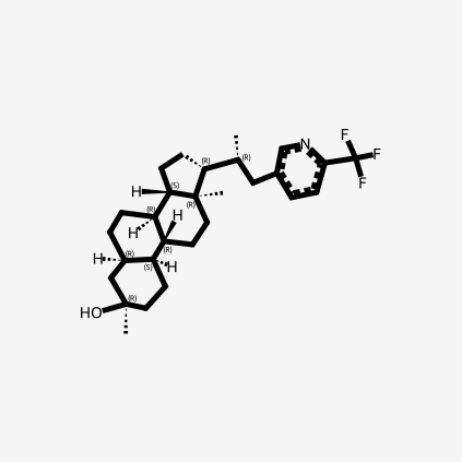 C[C@H](Cc1ccc(C(F)(F)F)nc1)[C@H]1CC[C@H]2[C@@H]3CC[C@@H]4C[C@](C)(O)CC[C@@H]4[C@H]3CC[C@]12C